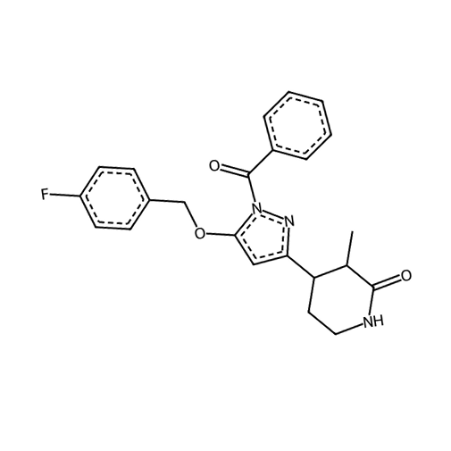 CC1C(=O)NCCC1c1cc(OCc2ccc(F)cc2)n(C(=O)c2ccccc2)n1